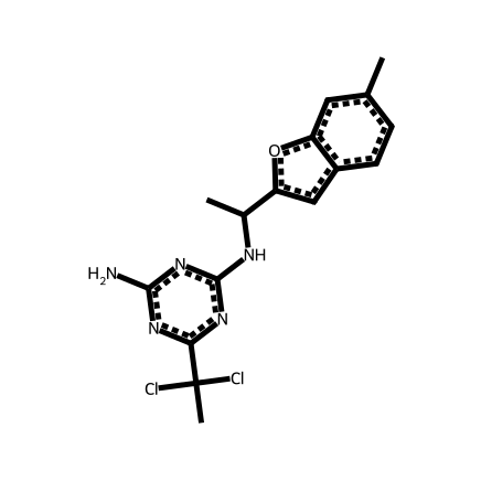 Cc1ccc2cc(C(C)Nc3nc(N)nc(C(C)(Cl)Cl)n3)oc2c1